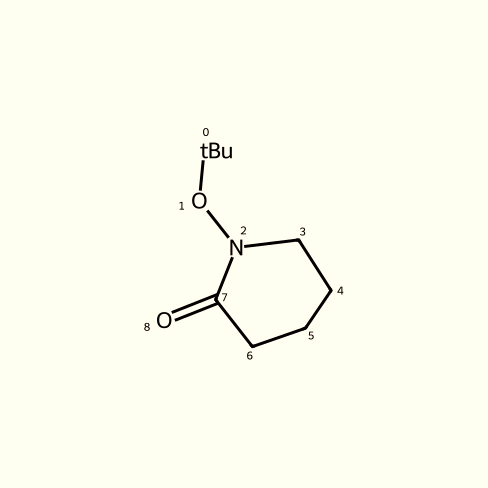 CC(C)(C)ON1CCCCC1=O